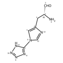 N[C@@H](C=O)Cc1cn(-c2nnn[nH]2)cn1